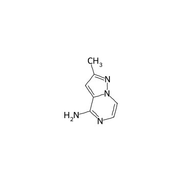 Cc1cc2c(N)nccn2n1